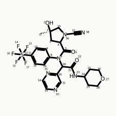 C[C@@]1(O)CC(C(=O)N(c2ccc(S(F)(F)(F)(F)F)cc2)C(C(=O)NC2CCOCC2)c2cnccn2)N(C#N)C1